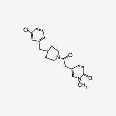 Cn1cc(CC(=O)N2CCC(Cc3cccc(Cl)c3)CC2)ccc1=O